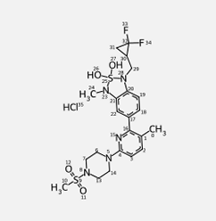 Cc1ccc(N2CCN(S(C)(=O)=O)CC2)nc1-c1ccc2c(c1)N(C)S(O)(O)N2CC1CC1(F)F.Cl